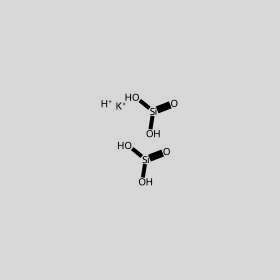 O=[Si](O)O.O=[Si](O)O.[H+].[K+]